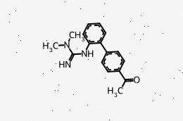 CC(=O)c1ccc(-c2ccccc2NC(=N)N(C)C)cc1